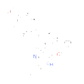 O=C1NC(=O)C(CCc2ccc(Br)cc2)(C2CC2C(=O)O)N1